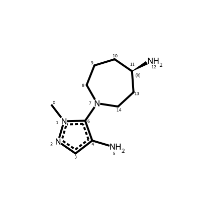 Cn1ncc(N)c1N1CCC[C@@H](N)CC1